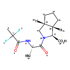 CC(F)(F)C(=O)N[C@H](C(=O)N1C[C@@H]2CCC[C@@H]2[C@H]1C(=O)O)C(C)(C)C